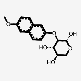 COc1ccc2cc(O[C@@H]3[C@@H](O)[C@H](O)CO[C@H]3O)ccc2c1